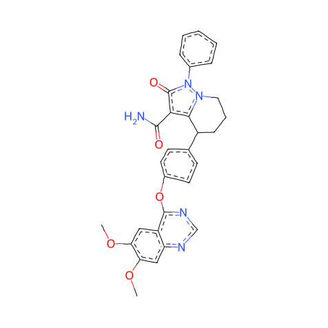 COc1cc2ncnc(Oc3ccc(C4CCCn5c4c(C(N)=O)c(=O)n5-c4ccccc4)cc3)c2cc1OC